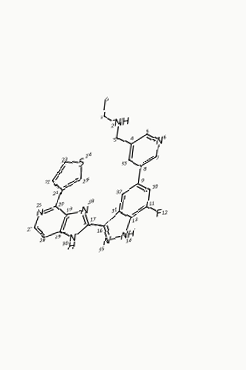 CCNCc1cncc(-c2cc(F)c3[nH]nc(-c4nc5c(-c6ccsc6)nccc5[nH]4)c3c2)c1